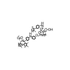 COC(=O)C[C@@H]1N=C(c2ccc(Nc3cccc(OCC(=O)NC(C(=O)N4C[C@H](O)C[C@H]4C(=O)N[C@@H](C)c4ccc(-c5scnc5C)cc4)C(C)(C)C)c3)cc2)c2c(sc(C)c2C)-n2c(C)nnc21